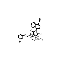 C[C@@]12CC[C@@](CCOc3cccc(Cl)c3)(O1)[C@H]1C(=O)N(c3ccc(C#N)c4ccccc34)C(=O)[C@H]12